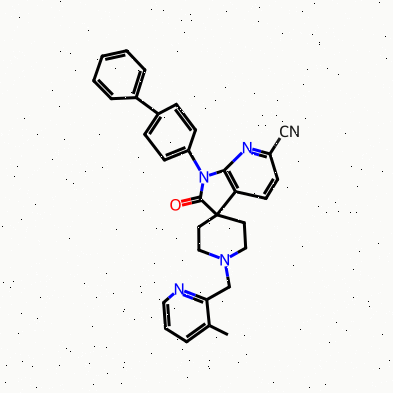 Cc1cccnc1CN1CCC2(CC1)C(=O)N(c1ccc(-c3ccccc3)cc1)c1nc(C#N)ccc12